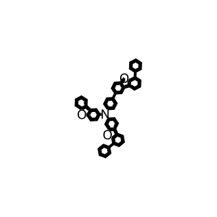 c1ccc(-c2cccc3c2oc2cc(N(c4ccc(-c5ccc6oc7c(-c8ccccc8)cccc7c6c5)cc4)c4ccc5oc6ccccc6c5c4)ccc23)cc1